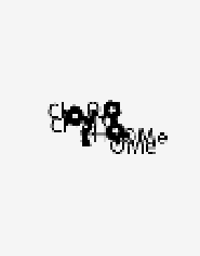 C#CCOC(C(=O)Nc1ccccc1-c1ccc(OC)c(OC)c1)c1ccc(Cl)c(Cl)c1